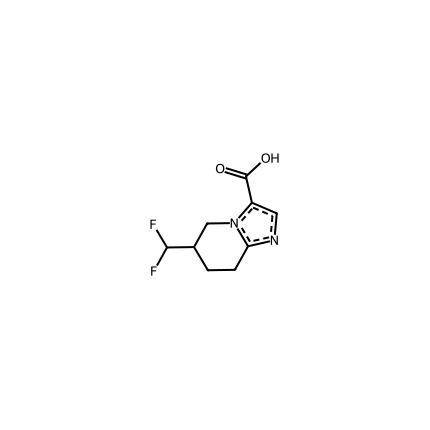 O=C(O)c1cnc2n1CC(C(F)F)CC2